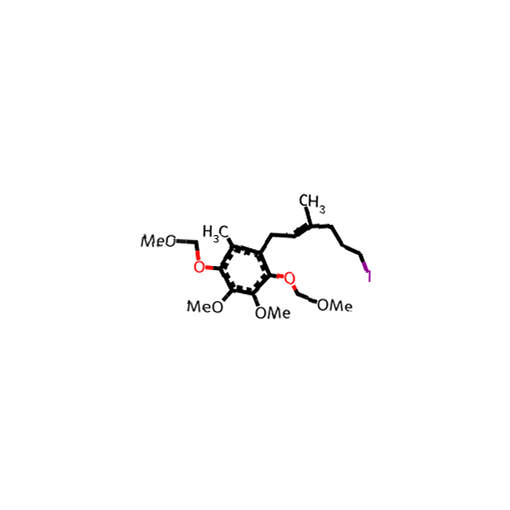 COCOc1c(C)c(C/C=C(\C)CCCI)c(OCOC)c(OC)c1OC